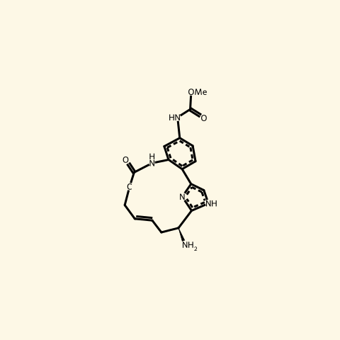 COC(=O)Nc1ccc2c(c1)NC(=O)CC/C=C/C[C@H](N)c1nc-2c[nH]1